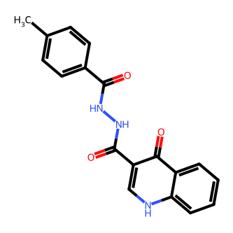 Cc1ccc(C(=O)NNC(=O)c2c[nH]c3ccccc3c2=O)cc1